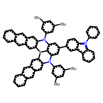 CC(C)(C)c1cc(N2c3cc4cc5ccccc5cc4cc3B3c4cc5cc6ccccc6cc5cc4N(c4cc(C(C)(C)C)cc(C(C)(C)C)c4)c4cc(-c5ccc6c(c5)c5ccccc5n6-c5ccccc5)cc2c43)cc(C(C)(C)C)c1